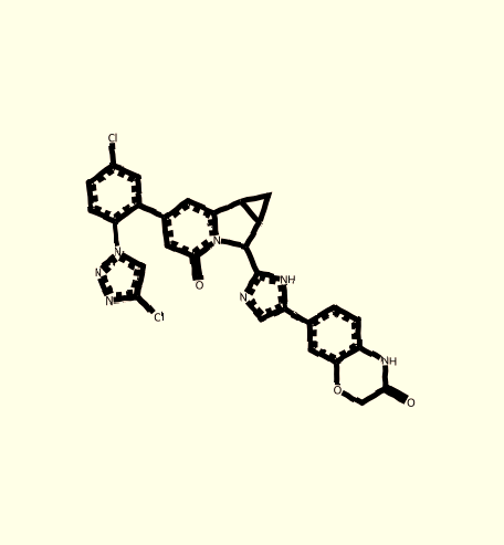 O=C1COc2cc(-c3cnc(C4C5CC5c5cc(-c6cc(Cl)ccc6-n6cc(Cl)nn6)cc(=O)n54)[nH]3)ccc2N1